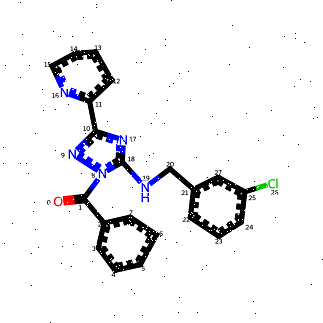 O=C(c1ccccc1)n1nc(-c2ccccn2)nc1NCc1cccc(Cl)c1